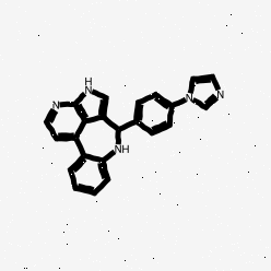 c1ccc2c(c1)NC(c1ccc(-n3ccnc3)cc1)c1c[nH]c3nccc-2c13